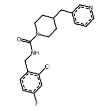 O=C(NCc1ccc(F)cc1Cl)N1CCC(Cc2cccnc2)CC1